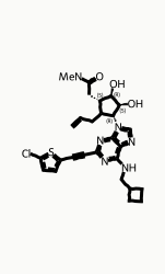 C=CCC1[C@@H](n2cnc3c(NCC4CCC4)nc(C#Cc4ccc(Cl)s4)nc32)[C@H](O)[C@H](O)[C@H]1CC(=O)NC